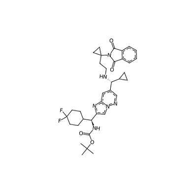 CC(C)(C)OC(=O)N[C@H](c1cn2ncc([C@H](NCCC3(N4C(=O)c5ccccc5C4=O)CC3)C3CC3)cc2n1)C1CCC(F)(F)CC1